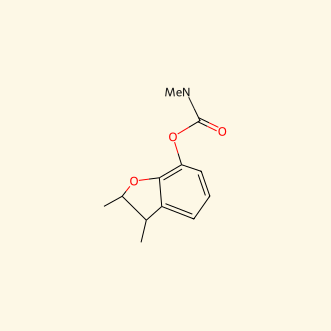 CNC(=O)Oc1cccc2c1OC(C)C2C